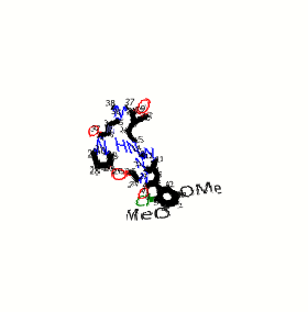 COc1cc(OC)c(Cl)c(-c2cc3cnc(NCCC4COC4)nc3n(CCOC3CCN(C(=O)/C=C/CN(C)C)C3)c2=O)c1